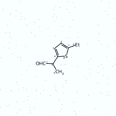 CCc1ccc(C(C)C=O)s1